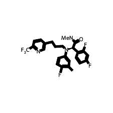 CNC(=O)[C@@H](c1ccc(F)cc1F)N(CCCc1ccc(C(F)(F)F)nc1)c1ccc(F)c(C)c1